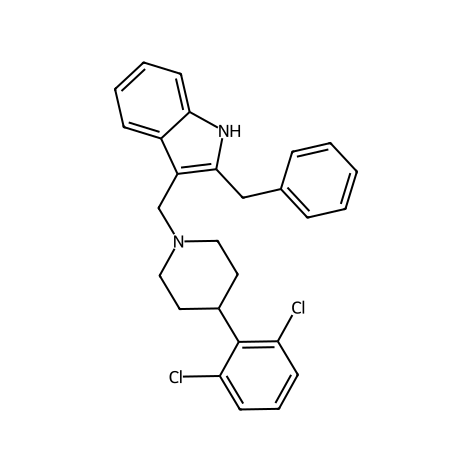 Clc1cccc(Cl)c1C1CCN(Cc2c(Cc3ccccc3)[nH]c3ccccc23)CC1